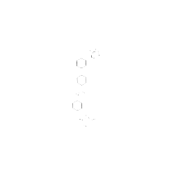 Cc1nnc(-c2ccc(C)c(-c3ccc(C(=O)Nc4cccc(CN5C(=O)CNC5=O)c4)cc3)c2)o1